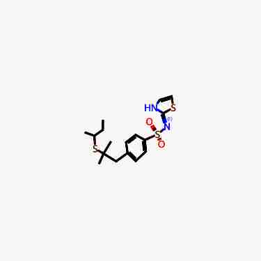 CCC(C)SC(C)(C)Cc1ccc(S(=O)(=O)/N=c2\[nH]ccs2)cc1